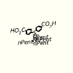 CCCCC[N+](CCCCC)(CCCCC)CCCCC.O=C(O)c1ccc([S+]([O-])c2ccc(C(=O)O)cc2)cc1